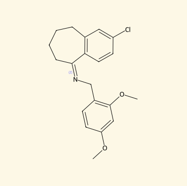 COc1ccc(C/N=C2/CCCCc3cc(Cl)ccc32)c(OC)c1